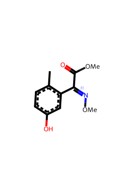 CO/N=C(/C(=O)OC)c1cc(O)ccc1C